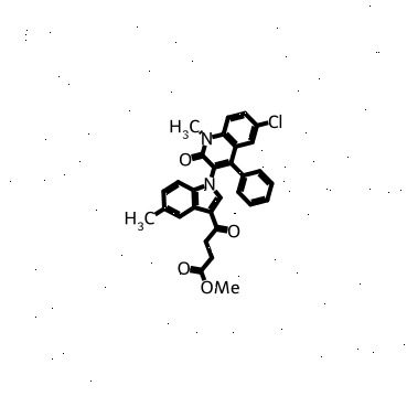 COC(=O)CCC(=O)c1cn(-c2c(-c3ccccc3)c3cc(Cl)ccc3n(C)c2=O)c2ccc(C)cc12